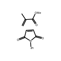 C=C(C)C(=O)OC.CC(C)N1C(=O)C=CC1=O